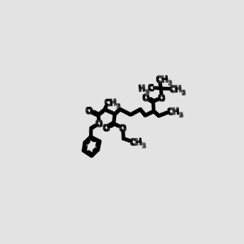 CCOC(=O)C(CCCCC(CC)C(=O)OC(C)(C)C)C(C)C(=O)OCc1ccccc1